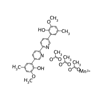 CC(=O)[O-].CC(=O)[O-].CC(=O)[O-].COc1cc(C)cc(-c2ccc(-c3ccc(-c4cc(C)cc(OC)c4O)cn3)nc2)c1O.[Mn+3]